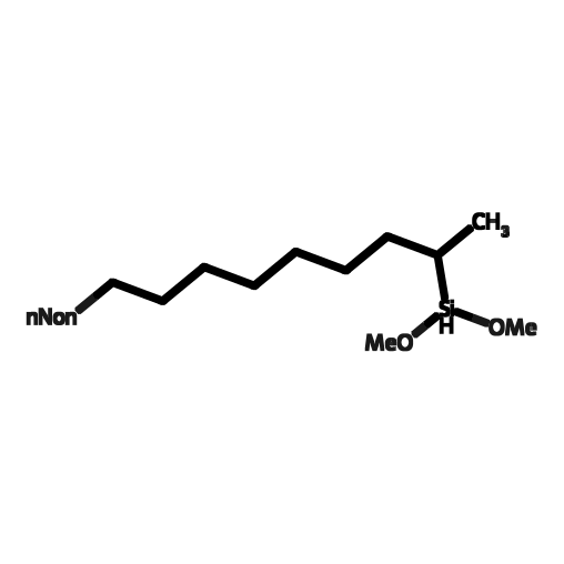 CCCCCCCCCCCCCCCCC(C)[SiH](OC)OC